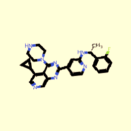 C[C@@H](Nc1cc(-c2nc(N3CCNCC3)c3c(C4CC4)cncc3n2)ccn1)c1ccccc1F